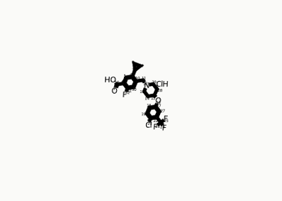 Cl.O=C(O)c1cc(C2CC2)c(CN2CCC(Oc3ccc(Cl)c(C(F)(F)F)c3)CC2)cc1F